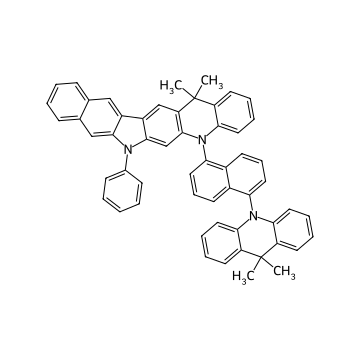 CC1(C)c2ccccc2N(c2cccc3c(N4c5ccccc5C(C)(C)c5cc6c7cc8ccccc8cc7n(-c7ccccc7)c6cc54)cccc23)c2ccccc21